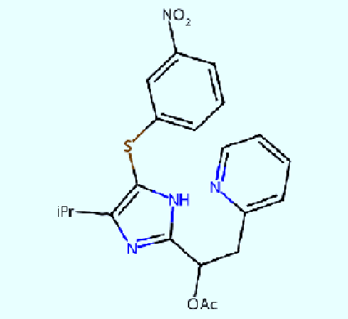 CC(=O)OC(Cc1ccccn1)c1nc(C(C)C)c(Sc2cccc([N+](=O)[O-])c2)[nH]1